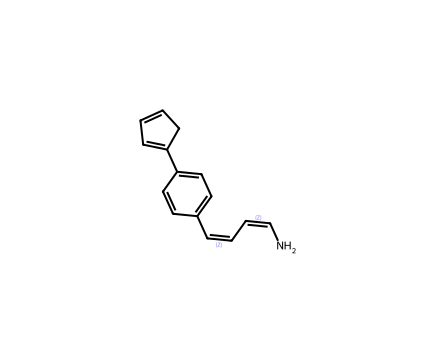 N/C=C\C=C/c1ccc(C2=CC=CC2)cc1